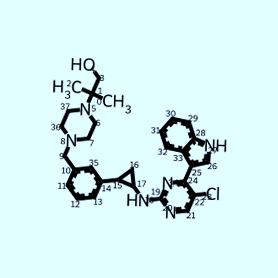 CC(C)(CO)N1CCN(Cc2cccc(C3CC3Nc3ncc(Cl)c(-c4c[nH]c5ccccc45)n3)c2)CC1